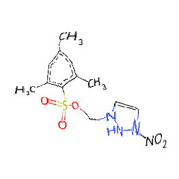 Cc1cc(C)c(S(=O)(=O)OCN2C=CN([N+](=O)[O-])N2)c(C)c1